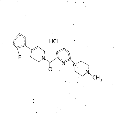 CN1CCN(c2cccc(C(=O)N3CC=C(c4ccccc4F)CC3)n2)CC1.Cl